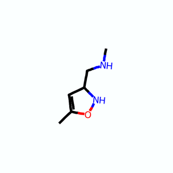 CNCC1C=C(C)ON1